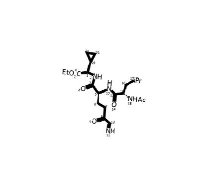 CCOC(=O)C(NC(=O)[C@H](CCC(=O)C=N)NC(=O)[C@H](CC(C)C)NC(C)=O)C1CC1